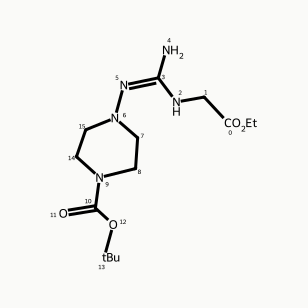 CCOC(=O)CNC(N)=NN1CCN(C(=O)OC(C)(C)C)CC1